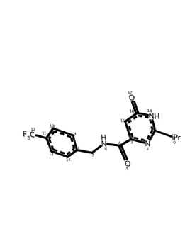 CC(C)c1nc(C(=O)NCc2ccc(C(F)(F)F)cc2)cc(=O)[nH]1